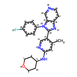 Cc1cc(NC2CCOCC2)ncc1-c1nc2ccncc2n1-c1ccc(F)cc1